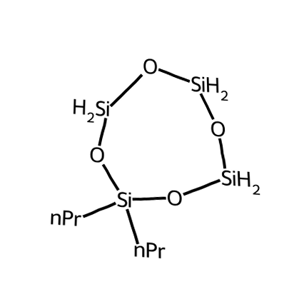 CCC[Si]1(CCC)O[SiH2]O[SiH2]O[SiH2]O1